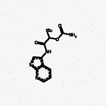 CC(C)(C)C(OC(N)=O)C(=O)Nc1csc2ncccc12